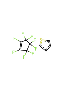 FC1=C(F)C(F)(F)C(F)(F)C1(F)F.c1ccsc1